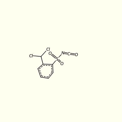 O=C=NS(=O)(=O)c1ccccc1C(Cl)Cl